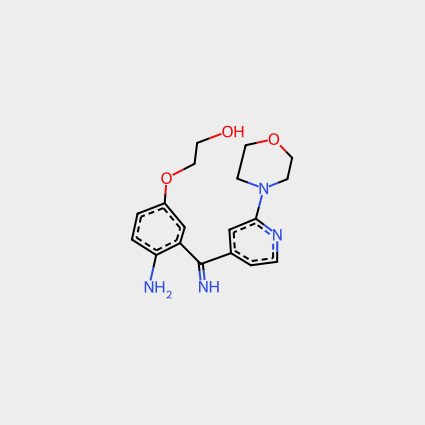 N=C(c1ccnc(N2CCOCC2)c1)c1cc(OCCO)ccc1N